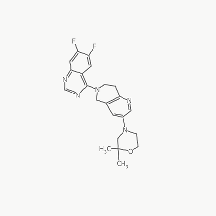 CC1(C)CN(c2cnc3c(c2)CN(c2ncnc4cc(F)c(F)cc24)CC3)CCO1